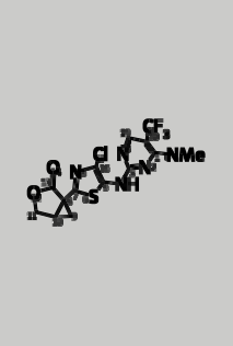 CNc1nc(Nc2sc(C34CC3COC4=O)nc2Cl)ncc1C(F)(F)F